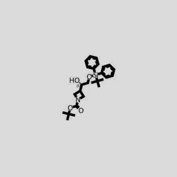 CC(C)(C)OC(=O)N1CC([C@H](O)CO[Si](c2ccccc2)(c2ccccc2)C(C)(C)C)C1